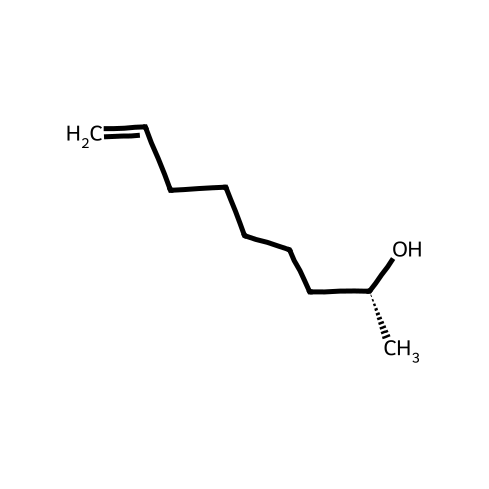 C=CCCCCC[C@@H](C)O